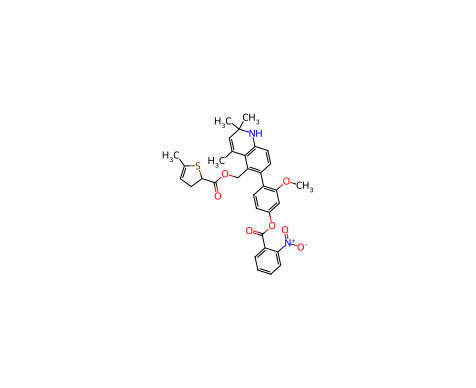 COc1cc(OC(=O)c2ccccc2[N+](=O)[O-])ccc1-c1ccc2c(c1COC(=O)C1CC=C(C)S1)C(C)=CC(C)(C)N2